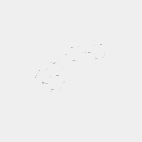 O=C1NNC2NC(CN3CCN(c4ccccn4)CC3)=Nc3cccc1c32